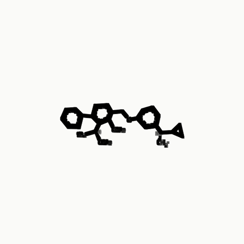 [CH2][C@H](c1cccc(OCc2ccc(-c3ccccc3)c([C@@H](OC)C(C)(C)C)c2OC)c1)C1CC1